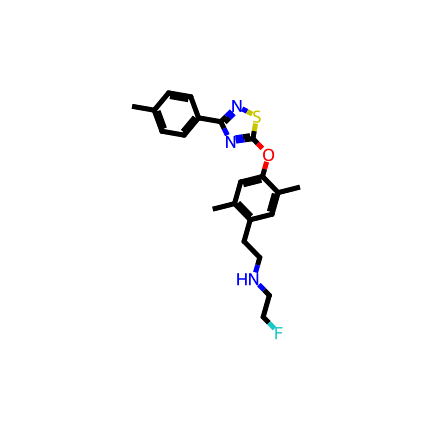 Cc1ccc(-c2nsc(Oc3cc(C)c(CCNCCF)cc3C)n2)cc1